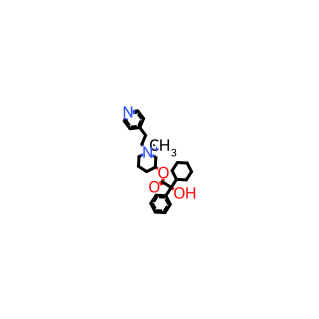 C[N@+]1(CCc2ccncc2)CCCC(OC(=O)C(O)(c2ccccc2)C2CCCCC2)C1